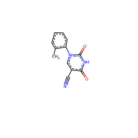 Cc1ccccc1-n1cc(C#N)c(=O)[nH]c1=O